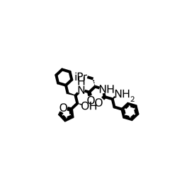 CC(C)C[C@H](NC(=O)[C@@H](N)Cc1ccccc1)C(=O)N[C@H](CC1CCCCC1)[C@H](O)c1ccco1